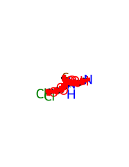 N#Cc1ccc(-c2ccc(CC(NC(=O)[C@@H]3Cc4cc5c(cc4CN3Cc3cccs3)O[C@@H](c3ccc(OCc4ccc(Cl)c(Cl)c4)cc3)CO5)C(=O)O)cc2)cc1